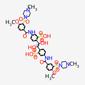 COc1ccc(C(=O)Nc2ccc(/C(O)=C(\O)c3ccc(NC(=O)c4ccc(OC)c(S(=O)(=O)N5CCN(C)CC5)c4)cc3S(=O)(=O)O)c(S(=O)(=O)O)c2)cc1S(=O)(=O)N1CCN(C)CC1